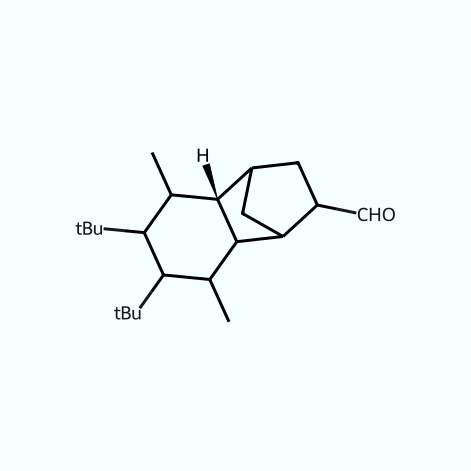 CC1C2C3CC(CC3C=O)[C@H]2C(C)C(C(C)(C)C)C1C(C)(C)C